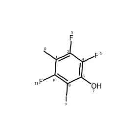 Cc1c(F)c(F)c(O)c(I)c1F